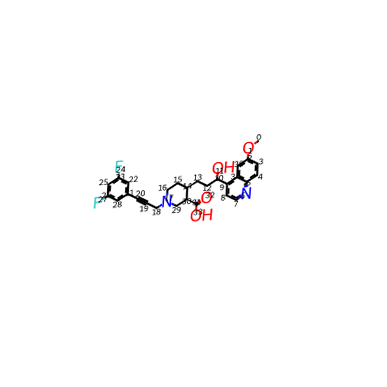 COc1ccc2nccc(C(O)CC[C@@H]3CCN(CC#Cc4cc(F)cc(F)c4)C[C@@H]3C(=O)O)c2c1